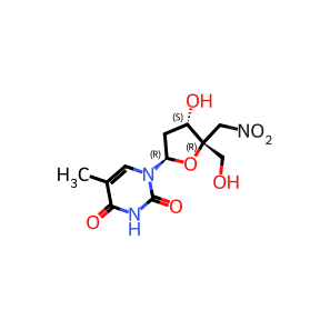 Cc1cn([C@H]2C[C@H](O)[C@](CO)(C[N+](=O)[O-])O2)c(=O)[nH]c1=O